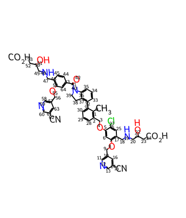 Cc1c(COc2cc(OCc3cncc(C#N)c3)c(CNC[C@@H](O)CC(=O)O)cc2Cl)cccc1-c1cccc2c1CCN2C(=O)c1ccc(CNC[C@@H](O)CC(=O)O)c(OCc2cncc(C#N)c2)c1